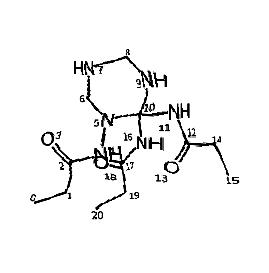 CCC(=O)NN1CNCNC1(NC(=O)CC)NC(=O)CC